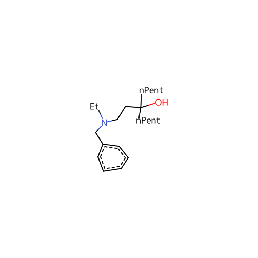 CCCCCC(O)(CCCCC)CCN(CC)Cc1ccccc1